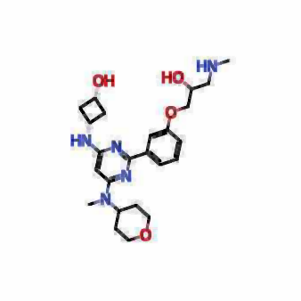 CNCC(O)COc1cccc(-c2nc(N[C@H]3C[C@@H](O)C3)cc(N(C)C3CCOCC3)n2)c1